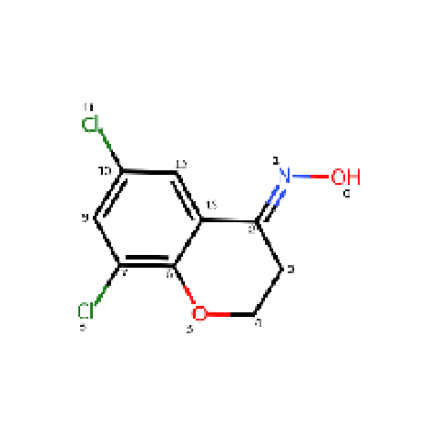 ON=C1CCOc2c(Cl)cc(Cl)cc21